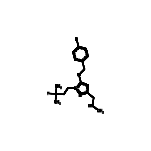 CNCc1cc(OCc2ccc(F)cc2)n(CCC(C)(C)F)n1